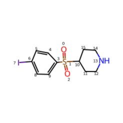 O=S(=O)(c1ccc(I)cc1)C1CCNCC1